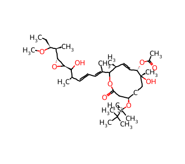 CC[C@H](OC)[C@@H](C)[C@H]1O[C@@H]1C(O)[C@H](C)/C=C/C=C(\C)C1OC(=O)C[C@H](O[Si](C)(C)C(C)(C)C)CC[C@@](C)(O)[C@@H](OC(C)=O)/C=C/[C@@H]1C